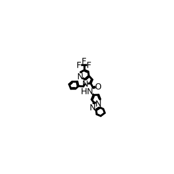 O=C(Nc1ccn2c3c(nc2c1)CCCC3)c1cc2cc(C(F)(F)F)cnc2n1Cc1ccccc1